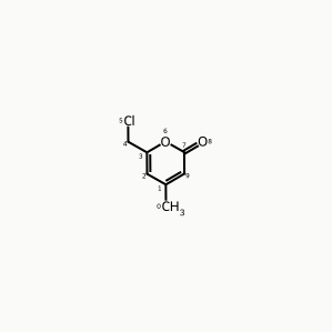 Cc1cc(CCl)oc(=O)c1